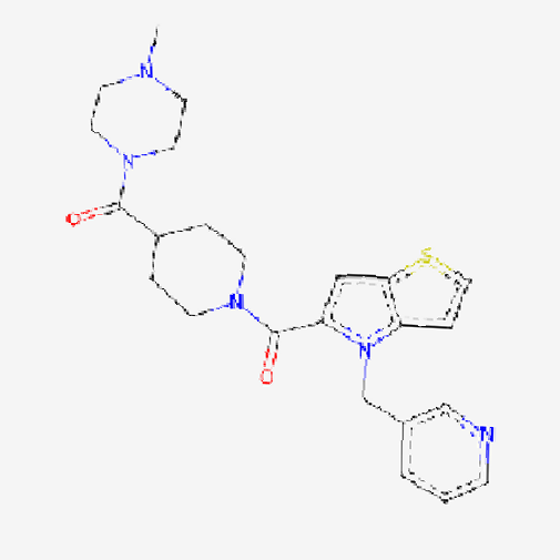 CN1CCN(C(=O)C2CCN(C(=O)c3cc4sccc4n3Cc3cccnc3)CC2)CC1